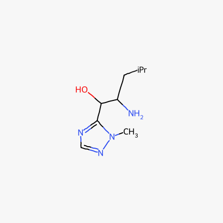 CC(C)CC(N)C(O)c1ncnn1C